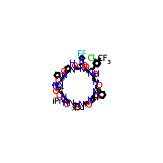 CC[C@H](C)[C@@H]1NC(=O)[C@H](CC(C)C)N(C)C(=O)C[C@@H](C(=O)N(C)C)N(C)C(=O)[C@H](C2CCCC2)N(C)C(=O)C2(CCCC2)NC(=O)[C@H](CC(=O)N2CC(F)(F)C2)N(C)C(=O)[C@H](CCc2ccc(C(F)(F)F)c(Cl)c2)NC(=O)CN(C)C(=O)[C@H](CC2CCCCC2)N(C)C(=O)[C@@H]2CCN2C(=O)[C@H](C)N(C)C1=O